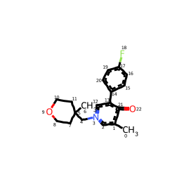 Cc1cn(CC2(C)CCOCC2)cc(-c2ccc(F)cc2)c1=O